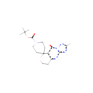 C[C@@H]1CC2(CCN1C(=O)OC(C)(C)C)OCCc1[nH]c3nc(Br)nn3c(=O)c12